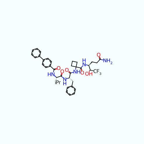 CC(C)[C@H](NC(=O)c1ccc(-c2ccccc2)cc1)C(=O)N[C@@H](Cc1ccccc1)C(=O)NC1(C(=O)N[C@@H](CCC(N)=O)C(O)C(F)(F)F)CCC1